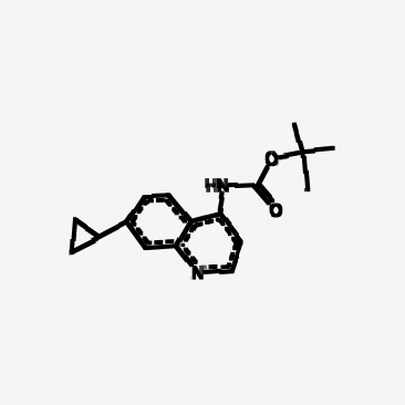 CC(C)(C)OC(=O)Nc1ccnc2cc(C3CC3)ccc12